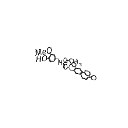 COc1cc(/C=C/C(=O)O[C@H]2Cc3cc4ccc(=O)oc4cc3OC2(C)C)ccc1O